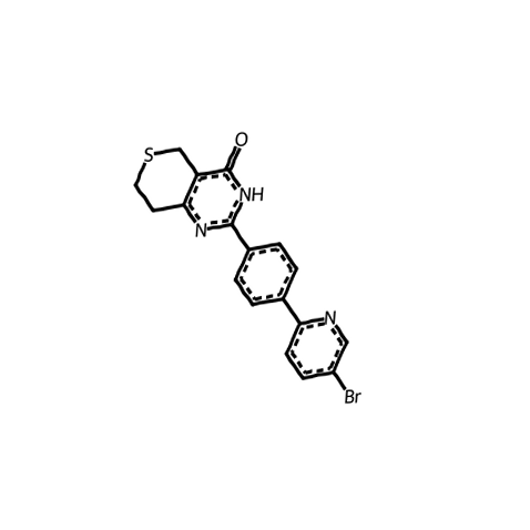 O=c1[nH]c(-c2ccc(-c3ccc(Br)cn3)cc2)nc2c1CSCC2